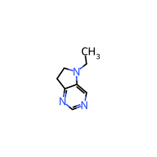 CCN1CCc2ncncc21